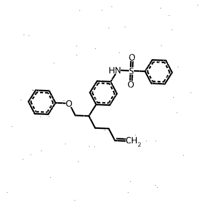 C=CCCC(COc1c[c]ccc1)c1ccc(NS(=O)(=O)c2ccccc2)cc1